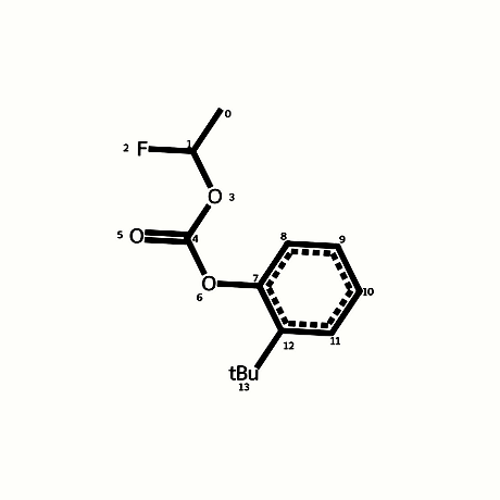 CC(F)OC(=O)Oc1ccccc1C(C)(C)C